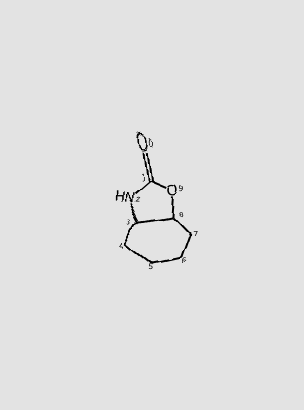 O=C1NC2CCCCC2O1